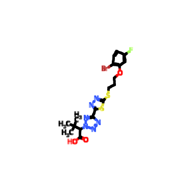 CC(C)(C)C(C(=O)O)n1nnc(-c2nnc(SCCCOc3cc(F)ccc3Br)s2)n1